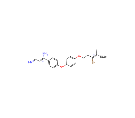 CN/C(C)=C(\S)CCOc1ccc(Oc2ccc(/C(N)=C/C=N)cc2)cc1